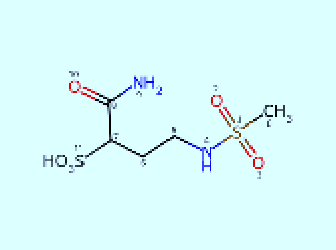 CS(=O)(=O)NCCC(C(N)=O)S(=O)(=O)O